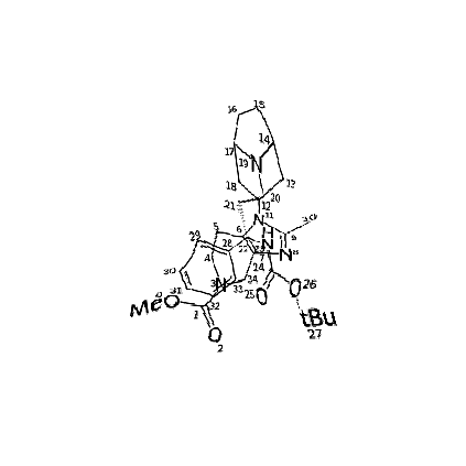 COC(=O)N1CCc2c(nc(C)n2C2CC3CCC(C2)N3CC[C@H](NC(=O)OC(C)(C)C)c2ccccc2)C1